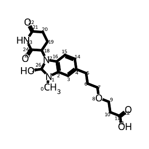 CN1c2cc(CCCOCCC(=O)O)ccc2N(C2CCC(=O)NC2=O)C1O